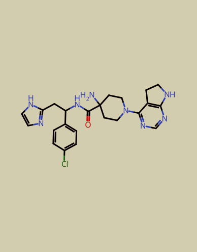 NC1(C(=O)NC(Cc2ncc[nH]2)c2ccc(Cl)cc2)CCN(c2ncnc3c2CCN3)CC1